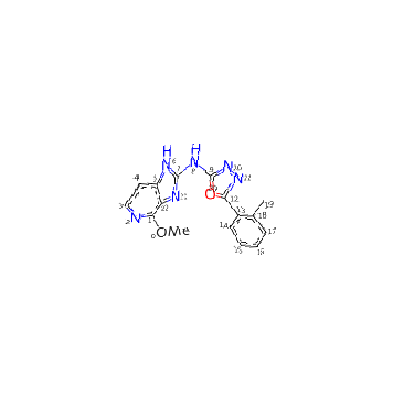 COc1nccc2[nH]c(Nc3nnc(-c4ccccc4C)o3)nc12